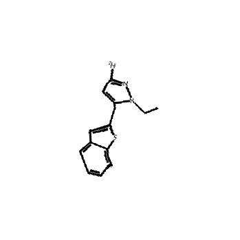 [2H]c1cc(-c2cc3ccccc3s2)n(CC)n1